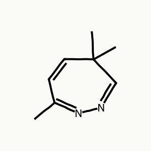 CC1=NN=CC(C)(C)C=C1